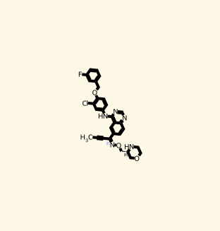 CC#C/C(=N/OC[C@H]1COCCN1)c1ccc2ncnc(Nc3ccc(OCc4cccc(F)c4)c(Cl)c3)c2c1